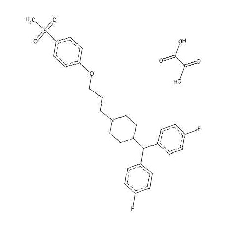 CS(=O)(=O)c1ccc(OCCCN2CCC(C(c3ccc(F)cc3)c3ccc(F)cc3)CC2)cc1.O=C(O)C(=O)O